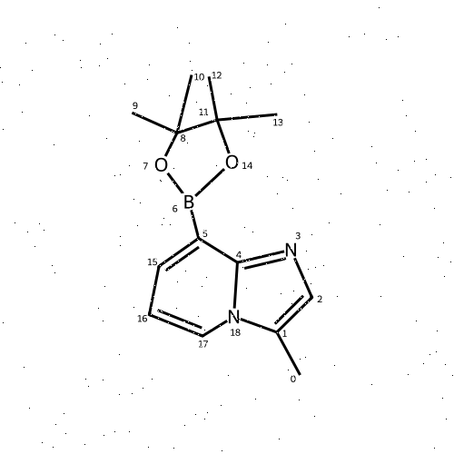 Cc1cnc2c(B3OC(C)(C)C(C)(C)O3)cccn12